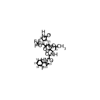 CC(C)C[C@H](NC(=O)C(=O)NC1(c2ccccc2F)CC1)C(=O)N[C@@H](C[C@@H]1CCNC1=O)C(=O)COC(F)(F)F